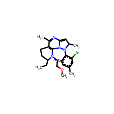 CCC1CCC2=C(N1CCOC)N1C(=CC(C)N1c1c(C)cc(C)cc1Br)N=C2C